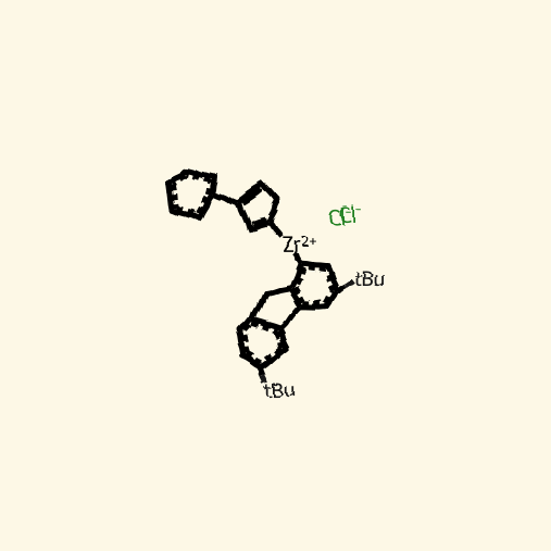 CC(C)(C)c1ccc2c(c1)-c1cc(C(C)(C)C)c[c]([Zr+2][C]3=CC(c4ccccc4)=CC3)c1C2.[Cl-].[Cl-]